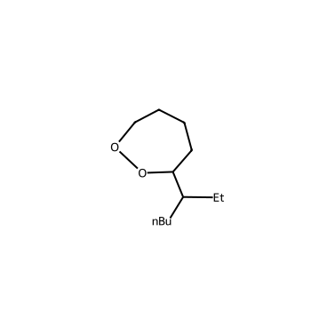 CCCCC(CC)C1CCCCOO1